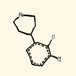 Clc1cccc(C2CC[N]CC2)c1Cl